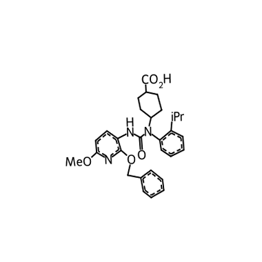 COc1ccc(NC(=O)N(c2ccccc2C(C)C)C2CCC(C(=O)O)CC2)c(OCc2ccccc2)n1